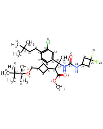 COC(=O)C(C1CC(CO[Si](C)(C)C(C)(C)C)C1)[C@@](C)(NC(=O)NC1CC(F)(F)C1)c1ccc(CCC(C)(C)C)c(Cl)c1